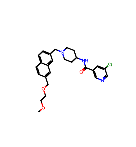 COCCOCc1ccc2ccc(CN3CCC(NC(=O)c4cncc(Cl)c4)CC3)cc2c1